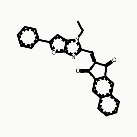 CCn1c(C=C2C(=O)c3cc4ccccc4cc3C2=O)nc2oc(-c3ccccc3)cc21